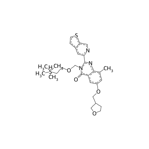 Cc1cc(OCC2CCOC2)cc2c(=O)n(COCC[SH](C)(C)(C)C)c(-c3cc4ccsc4cn3)nc12